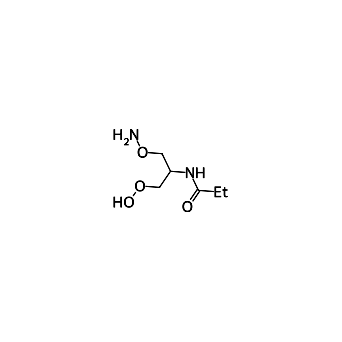 CCC(=O)NC(CON)COO